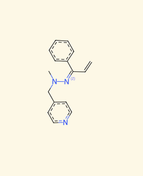 C=C/C(=N/N(C)Cc1ccncc1)c1ccccc1